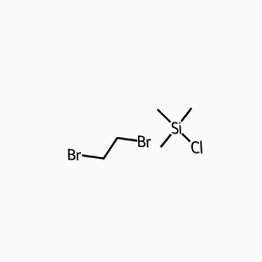 BrCCBr.C[Si](C)(C)Cl